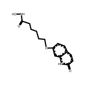 O=C(CCCCCOc1ccc2ccc(=O)[nH]c2c1)NO